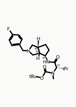 CC(C)[C@@H](C(=O)N[C@@H]1CC[C@H]2CN(Cc3ccc(F)cc3)C[C@H]21)N(C)C(=O)OC(C)(C)C